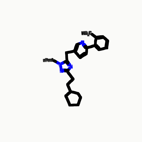 CCCCCn1nc(CCC2CCCCC2)nc1Cc1ccc(-c2ccccc2C(=O)O)nc1